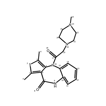 Cc1sc(C)c2c1C(=O)Nc1ccccc1N2C(=O)CN1CCN(C)CC1